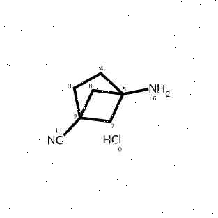 Cl.N#CC12CCC(N)(C1)C2